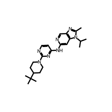 Cc1nc2cnc(Nc3ccnc(N4CCC(C(C)(C)C)CC4)n3)cc2n1C(C)C